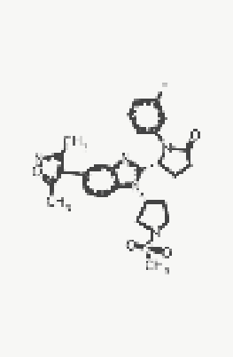 Cc1noc(C)c1-c1ccc2c(c1)nc([C@H]1CCC(=O)N1c1cccc(F)c1)n2[C@@H]1CCN(S(C)(=O)=O)C1